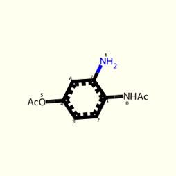 CC(=O)Nc1ccc(OC(C)=O)cc1N